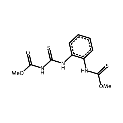 COC(=O)NC(=S)Nc1ccccc1NC(=S)OC